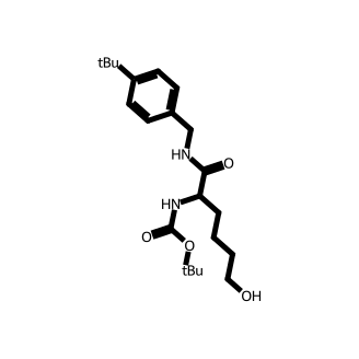 CC(C)(C)OC(=O)NC(CCCCO)C(=O)NCc1ccc(C(C)(C)C)cc1